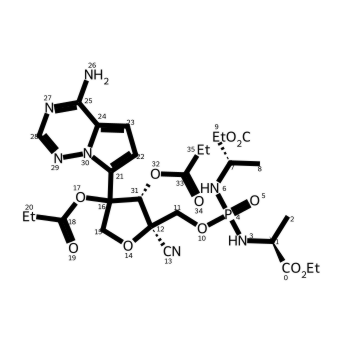 CCOC(=O)[C@H](C)NP(=O)(N[C@@H](C)C(=O)OCC)OC[C@@]1(C#N)OCC(OC(=O)CC)(c2ccc3c(N)ncnn23)[C@@H]1OC(=O)CC